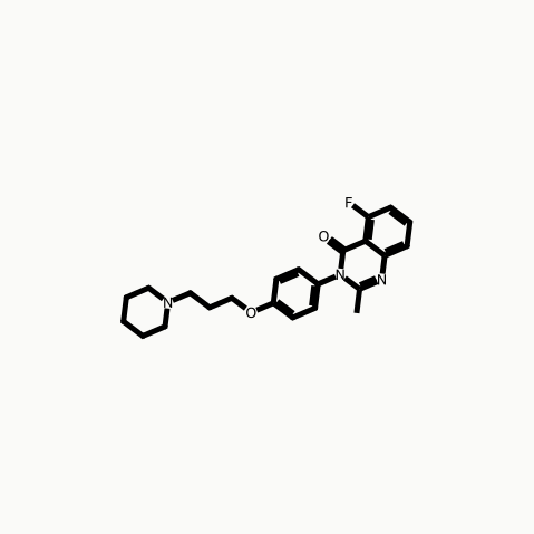 Cc1nc2cccc(F)c2c(=O)n1-c1ccc(OCCCN2CCCCC2)cc1